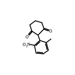 Cc1cccc([N+](=O)[O-])c1C1C(=O)CCCC1=O